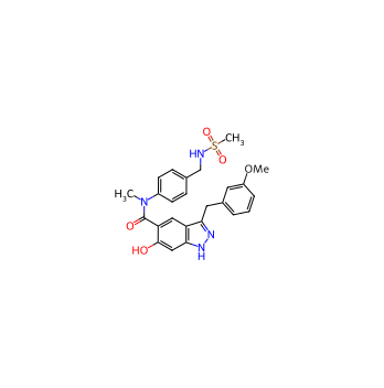 COc1cccc(Cc2n[nH]c3cc(O)c(C(=O)N(C)c4ccc(CNS(C)(=O)=O)cc4)cc23)c1